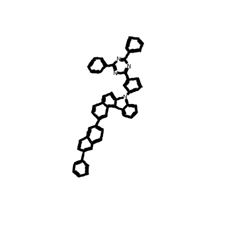 c1ccc(-c2ccc3cc(-c4ccc5ccc6c(c5c4)c4ccccc4n6-c4cccc(-c5nc(-c6ccccc6)nc(-c6ccccc6)n5)c4)ccc3c2)cc1